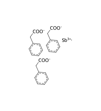 O=C([O-])Cc1ccccc1.O=C([O-])Cc1ccccc1.O=C([O-])Cc1ccccc1.[Sb+3]